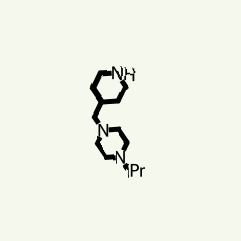 CC(C)N1CCN(CC2CCNCC2)CC1